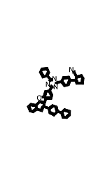 N#Cc1ccccc1-c1ccc(-c2nc(-c3ccccc3)nc(-c3ccc4c(c3)oc3c5ccccc5cc(-c5ccc(-c6ccccc6)cc5)c43)n2)cc1